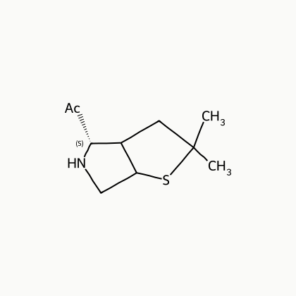 CC(=O)[C@H]1NCC2SC(C)(C)CC21